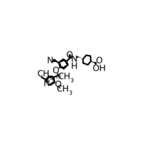 CCc1cc([C@H](C)Oc2ccc(C(=O)NC[C@H]3CC[C@H](C(=O)O)CC3)cc2C#N)c(OC)cn1